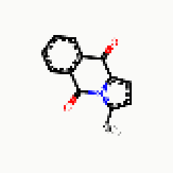 O=C1c2ccccc2C(=O)n2c1ccc2[N+](=O)[O-]